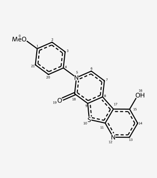 COc1ccc(-n2ccc3c(sc4nccc(O)c43)c2=O)cc1